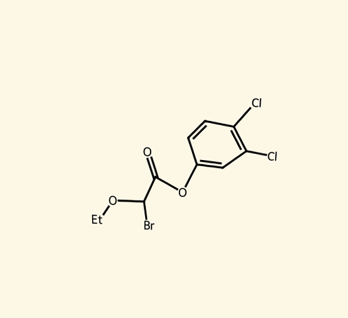 CCOC(Br)C(=O)Oc1ccc(Cl)c(Cl)c1